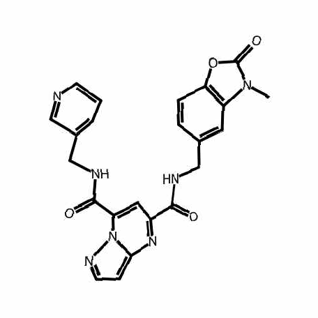 Cn1c(=O)oc2ccc(CNC(=O)c3cc(C(=O)NCc4cccnc4)n4nccc4n3)cc21